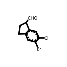 O=CC1CCc2cc(Br)c(Cl)cc21